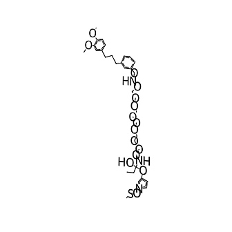 CCC(O)(NOOOCOOOCOOCONOc1cccc(CCCc2ccc(OC)c(OC)c2)c1)Oc1ccn(OSC)c1